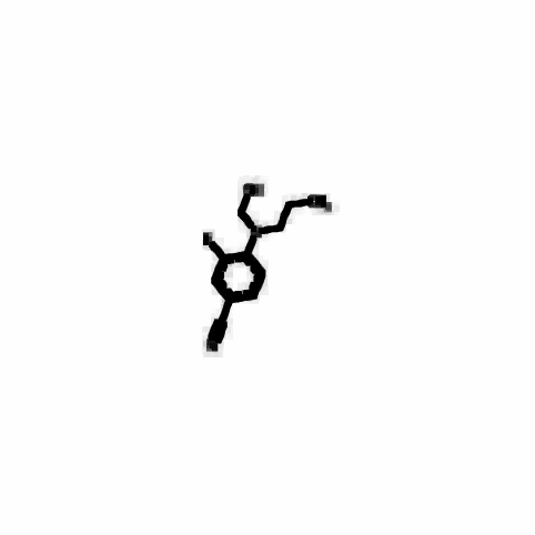 CCCN(CO)c1ccc(C#N)cc1F